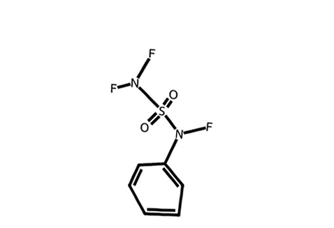 O=S(=O)(N(F)F)N(F)c1ccccc1